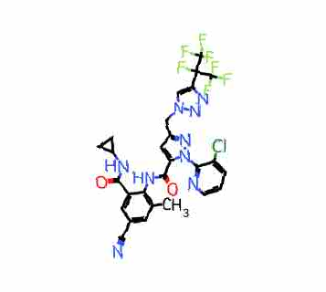 Cc1cc(C#N)cc(C(=O)NC2CC2)c1NC(=O)c1cc(Cn2cc(C(F)(C(F)(F)F)C(F)(F)F)nn2)nn1-c1ncccc1Cl